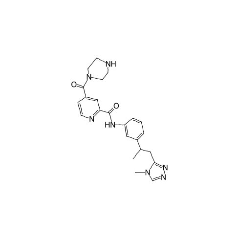 CC(Cc1nncn1C)c1cccc(NC(=O)c2cc(C(=O)N3CCNCC3)ccn2)c1